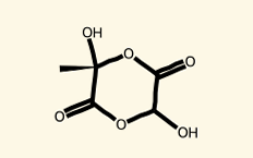 C[C@@]1(O)OC(=O)C(O)OC1=O